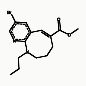 CCCN1CCCC(C(=O)OC)=Cc2cc(Br)cnc21